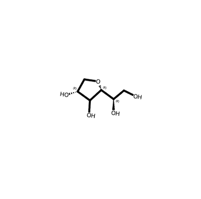 OC[C@@H](O)[C@H]1OC[C@@H](O)C1O